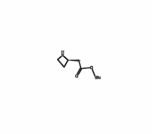 CC(C)(C)OC(=O)[CH][C@H]1CCN1